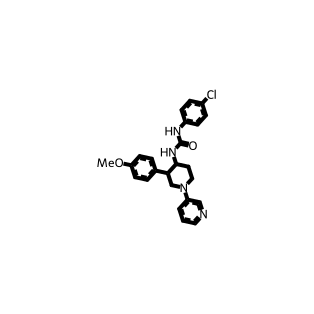 COc1ccc(C2CN(c3cccnc3)CCC2NC(=O)Nc2ccc(Cl)cc2)cc1